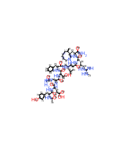 C=C1/C=C\C=C/CN/C=C\1C[C@H](NC(=O)[C@H](CCCNC(=N)NC)NC(=O)[C@@H](/C=C/CNC(=O)[C@H](Cc1ccccc1)NC(=O)[C@@H](NC(=O)[C@H](CNC(N)=O)NC(=O)[C@H](CCC(=O)O)NC(=O)[C@@H](Cc1ccc(O)cc1)NC(C)=O)[C@@H](C)O)CC(C)C)C(N)=O